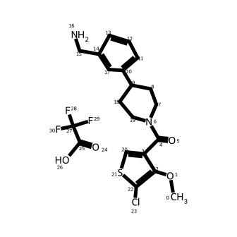 COc1c(C(=O)N2CCC(c3cccc(CN)c3)CC2)csc1Cl.O=C(O)C(F)(F)F